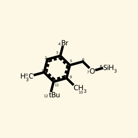 Cc1cc(Br)c(CO[SiH3])c(C)c1C(C)(C)C